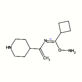 C=C(/N=C(\ON)C1CCC1)C1CCNCC1